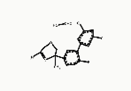 CC1(c2ccc(F)c(-c3cc(Cl)cc(Cl)c3)c2)COCC(N)=N1.O=CO